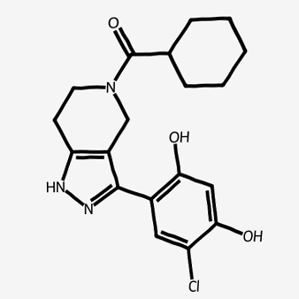 O=C(C1CCCCC1)N1CCc2[nH]nc(-c3cc(Cl)c(O)cc3O)c2C1